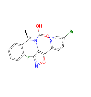 Cc1noc(-c2ccc(Br)cn2)c1N(C(=O)O)[C@H](C)c1ccccc1F